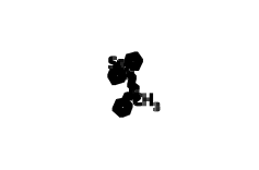 CN(CCCN1c2ccccc2[Se]c2ccccc21)Cc1ccccc1